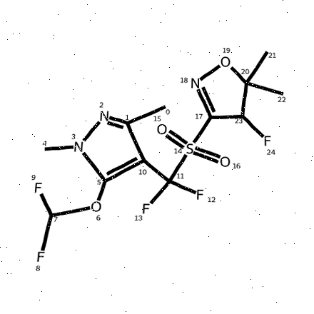 Cc1nn(C)c(OC(F)F)c1C(F)(F)S(=O)(=O)C1=NOC(C)(C)C1F